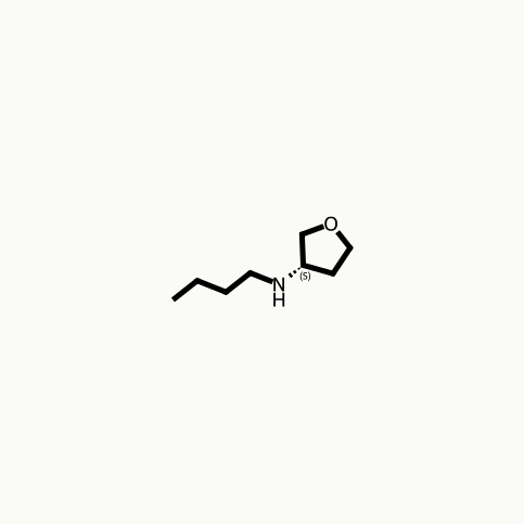 CCCCN[C@H]1CCOC1